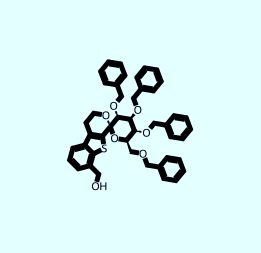 OCc1cccc2c3c(sc12)[C@]1(OCC3)O[C@H](COCc2ccccc2)[C@@H](OCc2ccccc2)[C@H](OCc2ccccc2)[C@H]1OCc1ccccc1